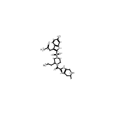 CC1Cc2nc(C(=O)N3CCN(S(=O)(=O)c4sc5cc(Cl)ccc5c4CC(N)=O)CC3CCC#N)oc2CN1